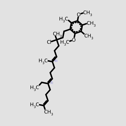 CC/C(=C\CC/C(C)=C/CCC(C)(Cl)CCc1c(C)c(OC)c(C)c(C)c1OC)CCC=C(C)C